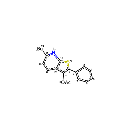 CC(=O)Oc1c(-c2ccccc2)sc2nc(C(C)(C)C)ccc12